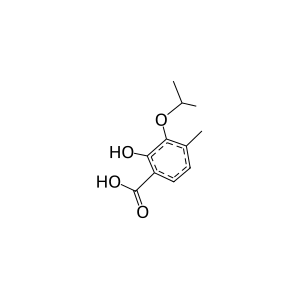 Cc1ccc(C(=O)O)c(O)c1OC(C)C